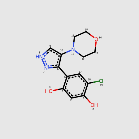 Oc1cc(O)c(-c2n[nH]cc2N2CCOCC2)cc1Cl